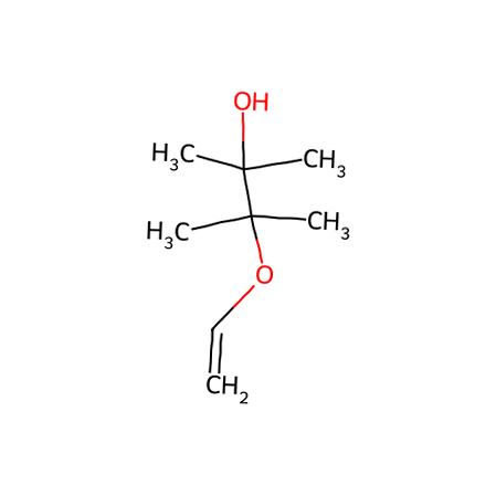 C=COC(C)(C)C(C)(C)O